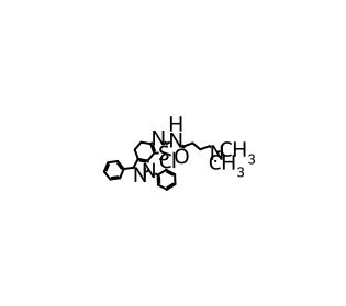 CN(C)CCCC(=O)Nc1nc2c(s1)-c1c(c(-c3ccccc3)nn1-c1ccccc1Cl)CC2